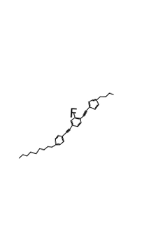 CCCCCCCCCc1ccc(C#Cc2ccc(C#Cc3ccc(CCCC)cc3)c(F)c2)cc1